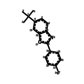 CC(C)(C)c1ccc2nc(-c3ccc(F)cc3)oc2c1